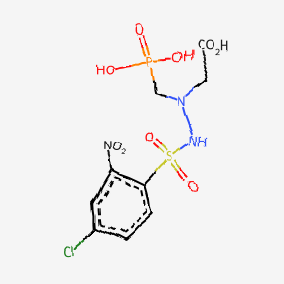 O=C(O)CN(CP(=O)(O)O)NS(=O)(=O)c1ccc(Cl)cc1[N+](=O)[O-]